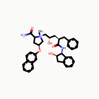 CC(C)(C)[N+]1(C[C@@H](O)C[C@@H](Cc2ccccc2)C(=O)N[C@H]2c3ccccc3C[C@H]2O)C[C@@H](Oc2ccc3ccccc3c2)CC1C(N)=O